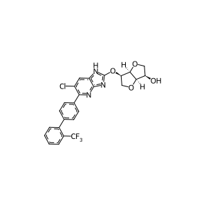 O[C@@H]1CO[C@H]2[C@@H]1OC[C@H]2Oc1nc2nc(-c3ccc(-c4ccccc4C(F)(F)F)cc3)c(Cl)cc2[nH]1